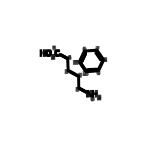 NCCCCC(=O)O.c1ccccc1